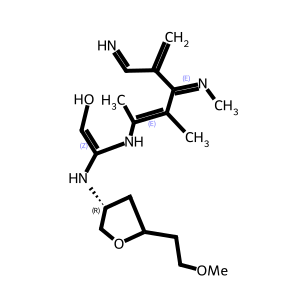 C=C(C=N)C(=N/C)/C(C)=C(\C)N/C(=C\O)N[C@H]1COC(CCOC)C1